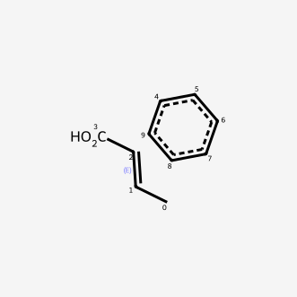 C/C=C/C(=O)O.c1ccccc1